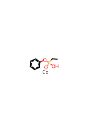 CCP(=O)(O)Oc1ccccc1.[Co]